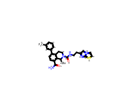 CC(C)(C)C1c2c(C(N)=O)ccc(-c3cccc(C(F)(F)F)c3)c2CCN1C(=O)NCCc1cn2ccsc2n1